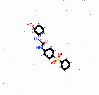 O=C(Nc1ccc(S(=O)(=O)c2ccccc2)cc1)Nc1cccc(O)c1